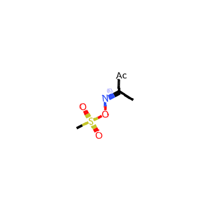 CC(=O)/C(C)=N/OS(C)(=O)=O